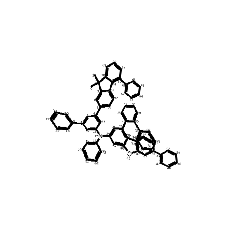 CC1(C)c2cc(-c3cc(-c4ccccc4)cc(N(c4ccccc4)c4cc(-c5ccccc5-c5ccccc5)c5c(c4)oc4cc(-c6ccccc6)ccc45)c3)ccc2-c2c(-c3ccccc3)cccc21